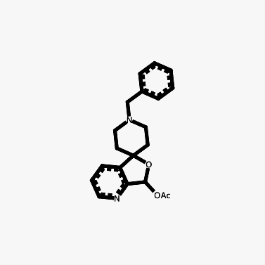 CC(=O)OC1OC2(CCN(Cc3ccccc3)CC2)c2cccnc21